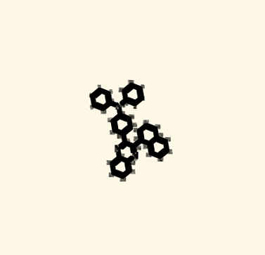 c1ccc(N(c2ccccc2)c2ccc(-c3nc4ccccc4nc3-c3cccc4ccccc34)cc2)cc1